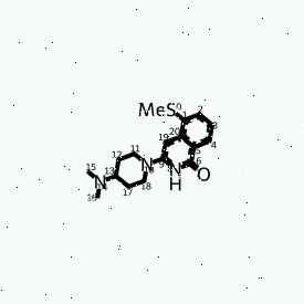 CSc1cccc2c(=O)[nH]c(N3CCC(N(C)C)CC3)cc12